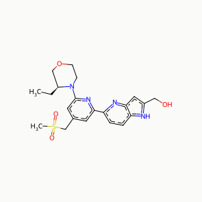 CC[C@H]1COCCN1c1cc(CS(C)(=O)=O)cc(-c2ccc3[nH]c(CO)cc3n2)n1